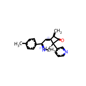 C=C1C(=O)C(C)(c2cccnc2)/C1=C\C(=N/C)c1ccc(C)cc1